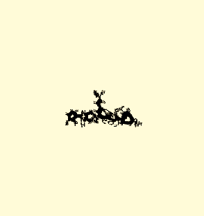 CCCOc1ccc(-c2cc(C(CCCCN(C)C)(C(=O)O)N3Cc4nc(-c5cccc(F)c5F)[nH]c4C=N3)on2)c(C(F)(F)F)c1